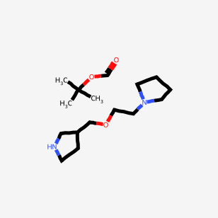 C1CCN(CCOCC2CCNC2)C1.CC(C)(C)OC=O